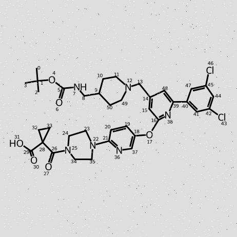 CC(C)(C)OC(=O)NCC1CCN(Cc2cc(Oc3ccc(N4CCN(C(=O)C5(C(=O)O)CC5)CC4)nc3)nc(-c3cc(Cl)cc(Cl)c3)c2)CC1